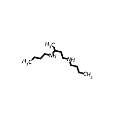 CCCCNCCC(C)NCCCC